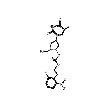 Cc1cn([C@H]2C[C@H](OC(=O)OCCc3c(F)cccc3[N+](=O)[O-])[C@@H](CO)O2)c(=O)[nH]c1=O